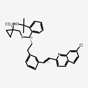 CC(C)(O)c1ccccc1[C@H](CCc1cccc(/C=C/c2ccc3ccc(Cl)cc3n2)c1)SCC1(C(=O)O)CC1